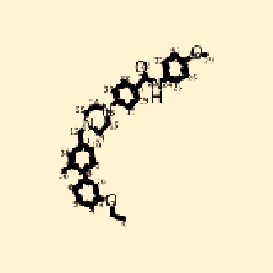 CCOc1cccc(-c2ccc(CN3CCN(c4ccc(C(=O)Nc5ccc(OC)cc5)cc4)CC3)cc2C)c1